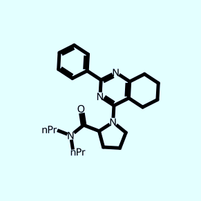 CCCN(CCC)C(=O)C1CCCN1c1nc(-c2ccccc2)nc2c1CCCC2